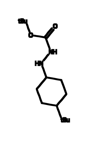 CC(C)(C)OC(=O)NNC1CCC(C(C)(C)C)CC1